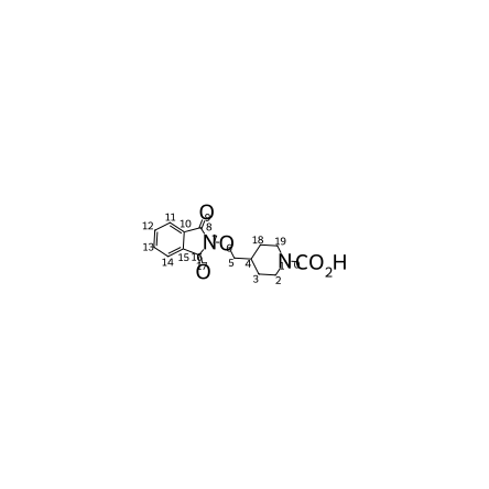 O=C(O)N1CCC(CON2C(=O)c3ccccc3C2=O)CC1